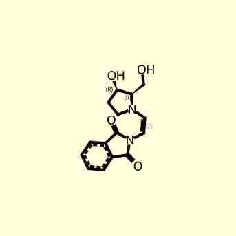 O=C1c2ccccc2C(=O)N1/C=C\N1CC[C@@H](O)[C@H]1CO